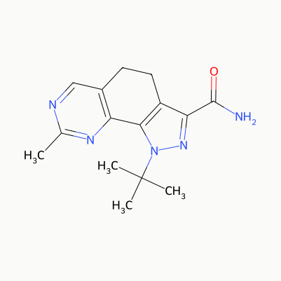 Cc1ncc2c(n1)-c1c(c(C(N)=O)nn1C(C)(C)C)CC2